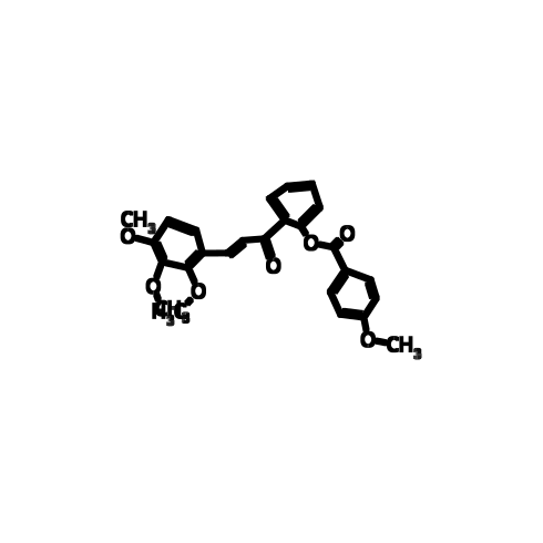 COc1ccc(C(=O)Oc2ccccc2C(=O)C=Cc2ccc(OC)c(OC)c2OC)cc1